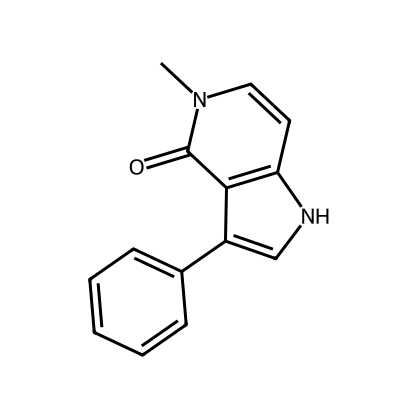 Cn1ccc2[nH]cc(-c3ccccc3)c2c1=O